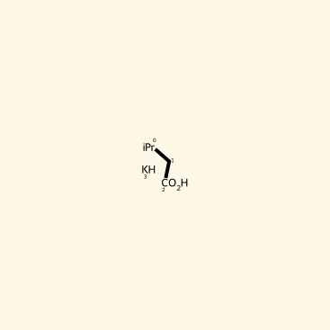 CC(C)CC(=O)O.[KH]